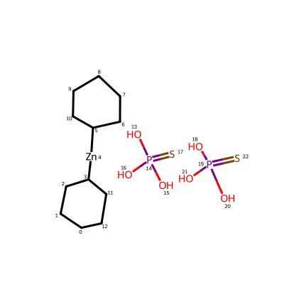 C1CC[CH]([Zn][CH]2CCCCC2)CC1.OP(O)(O)=S.OP(O)(O)=S